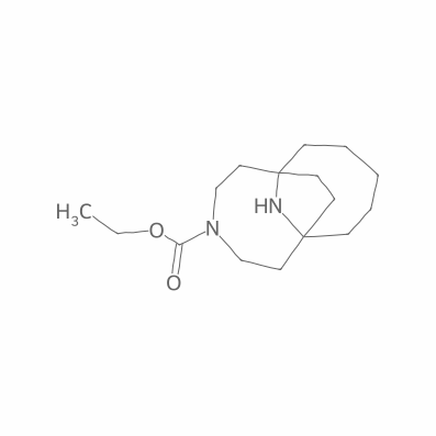 CCOC(=O)N1CCC23CCCCCC(CC1)(CC2)N3